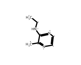 CCNc1nccnc1C